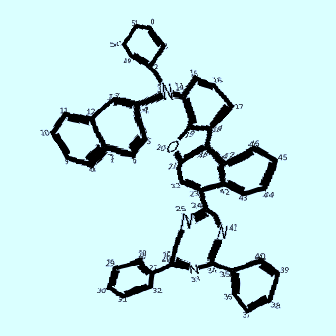 C1=CC(N(c2ccc3ccccc3c2)c2cccc3c2oc2cc(-c4nc(-c5ccccc5)nc(-c5ccccc5)n4)c4ccccc4c23)=CCC1